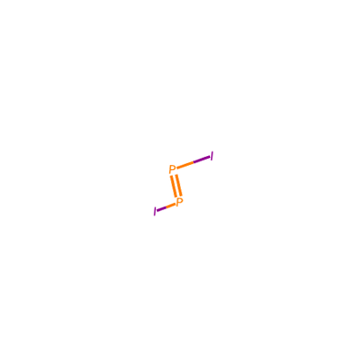 IP=PI